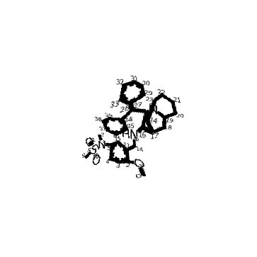 COc1ccc(N(C)S(C)(=O)=O)cc1CNC1C2CC3CCCC(C2)N3C1C(c1ccccc1)c1ccccc1